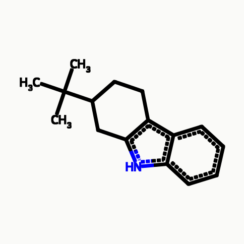 CC(C)(C)C1CCc2c([nH]c3ccccc23)C1